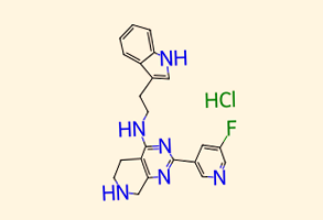 Cl.Fc1cncc(-c2nc3c(c(NCCc4c[nH]c5ccccc45)n2)CCNC3)c1